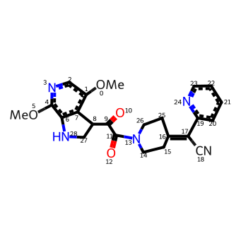 COc1cnc(OC)c2c1C(C(=O)C(=O)N1CCC(=C(C#N)c3ccccn3)CC1)CN2